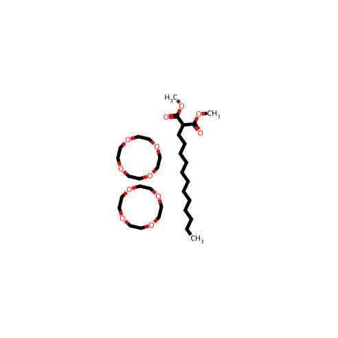 C1COCCOCCOCCO1.C1COCCOCCOCCO1.CCCCCCCCCCCCC(C(=O)OC)C(=O)OC